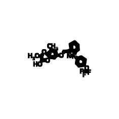 Cc1cc(OCc2nn(-c3ccc(OC(F)(F)F)cc3)c3ccccc23)ccc1OC(C)C(=O)O